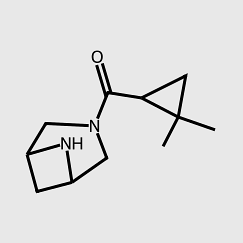 CC1(C)CC1C(=O)N1CC2CC(C1)N2